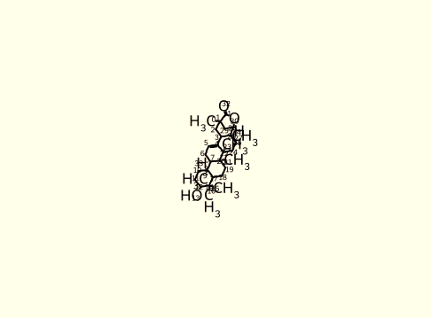 CC12CC3C4=CC[C@@H]5[C@@]6(C)CC[C@H](O)C(C)(C)C6CC[C@@]5(C)C4(C)CC[C@@]3(C)[C@H](C1)OC2=O